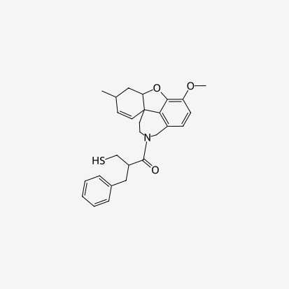 COc1ccc2c3c1OC1CC(C)C=CC31CCN(C(=O)C(CS)Cc1ccccc1)C2